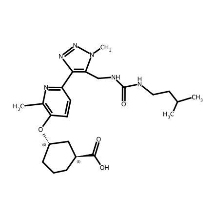 Cc1nc(-c2nnn(C)c2CNC(=O)NCCC(C)C)ccc1O[C@H]1CCC[C@H](C(=O)O)C1